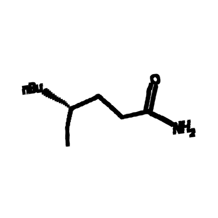 CCCC[C@@H](C)CCC(N)=O